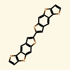 c1cc2sc3cc4sc(-c5cc6cc7c(cc6s5)sc5ccsc57)cc4cc3c2s1